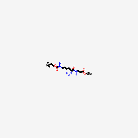 CC(C)(C)OC(=O)CCNC(=O)[C@@H](N)CCCCNC(=O)OCC[Si](C)(C)C